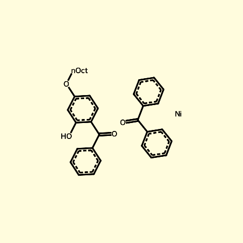 CCCCCCCCOc1ccc(C(=O)c2ccccc2)c(O)c1.O=C(c1ccccc1)c1ccccc1.[Ni]